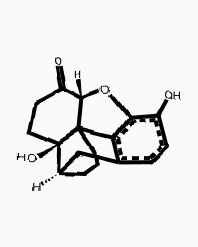 O=C1CC[C@@]2(O)[C@@H]3CCCC24c2c(ccc(O)c2O[C@@H]14)C3